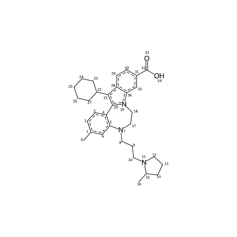 Cc1ccc2c(c1)N(CCCN1CCCC1C)CCn1c-2c(C2CCCCC2)c2ccc(C(=O)O)cc21